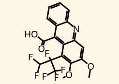 COc1cc2nc3ccccc3c(C(=O)O)c2c(C(F)(C(F)F)C(F)(F)F)c1OC